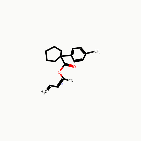 C=C/C=C(/C#N)OC(=O)C1(c2ccc(C(F)(F)F)cc2)CCCCC1